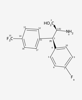 N[C@H](C(=O)O)[C@@H](c1ccc(F)cc1)c1ccc(C(F)(F)F)cc1